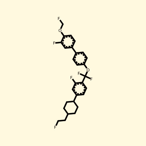 FCCC1CCC(c2ccc(C(F)(F)Oc3ccc(-c4ccc(OCF)c(F)c4)cc3)c(F)c2)CC1